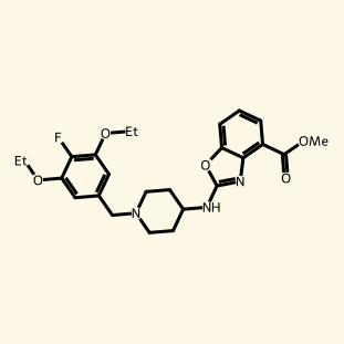 CCOc1cc(CN2CCC(Nc3nc4c(C(=O)OC)cccc4o3)CC2)cc(OCC)c1F